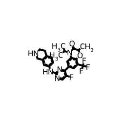 CC1Oc2c(cc(-c3nc(Nc4ccc5c(c4)CNCC5)ncc3F)cc2C(F)(F)F)N(C(C)C)C1=O